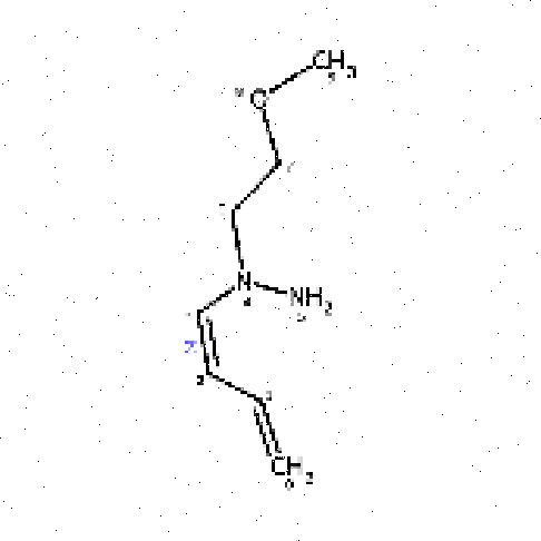 C=C/C=C\N(N)CCOC